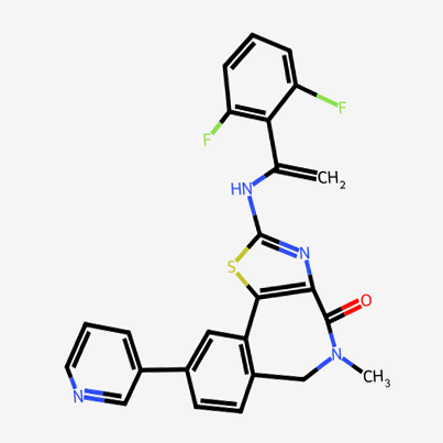 C=C(Nc1nc2c(s1)-c1cc(-c3cccnc3)ccc1CN(C)C2=O)c1c(F)cccc1F